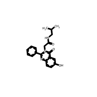 CC(C)CNC(=O)Cn1c(-c2ccccc2)nc2ccc(O)cc2c1=O